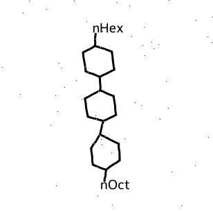 CCCCCCCCC1CCC(C2CCC(C3CCC(CCCCCC)CC3)CC2)CC1